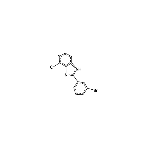 Clc1nccc2[nH]c(-c3cccc(Br)c3)nc12